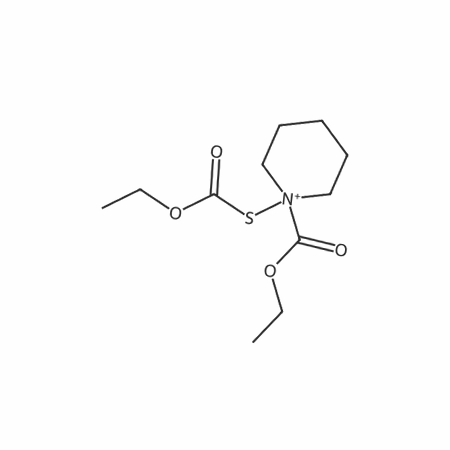 CCOC(=O)S[N+]1(C(=O)OCC)CCCCC1